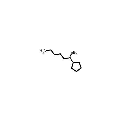 CCCCN(CCCCN)C1CCCC1